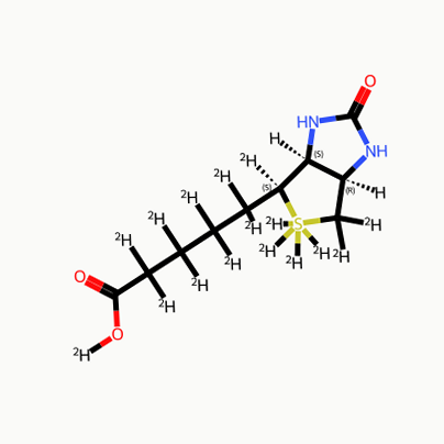 [2H]OC(=O)C([2H])([2H])C([2H])([2H])C([2H])([2H])C([2H])([2H])[C@@]1([2H])[C@H]2NC(=O)N[C@H]2C([2H])([2H])S1([2H])([2H])([2H])[2H]